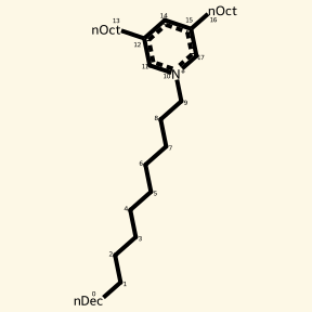 CCCCCCCCCCCCCCCCCCC[n+]1cc(CCCCCCCC)cc(CCCCCCCC)c1